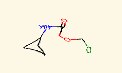 O=C(NC1CC1)OCCl